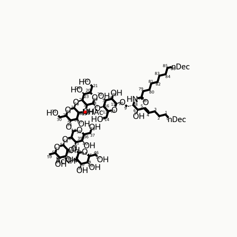 CCCCCCCCCCCCC/C=C/[C@@H](O)[C@H](CO[C@@H]1OC(CO)[C@@H](O[C@@H]2OC(CO)[C@H](O)[C@H](O[C@@H]3OC(CO)[C@@H](O[C@@H]4OC(CO)[C@H](O)[C@H](O[C@H]5OC(CO)[C@H](O)[C@H](O)C5NC(C)=O)C4O[C@H]4OC(C)[C@@H](O)C(O)[C@@H]4O)[C@H](O)C3NC(C)=O)C2O)[C@H](O)C1O)NC(=O)CCCCCCCCCCCCCCCCC